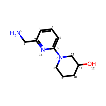 NCc1cccc(N2CCCC(O)C2)n1